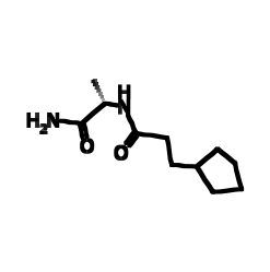 C[C@H](NC(=O)CCC1CCCC1)C(N)=O